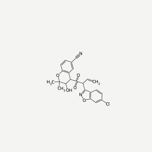 C=CC(c1noc2cc(Cl)ccc12)S(=O)(=O)C1c2cc(C#N)ccc2OC(C)(C)C1O